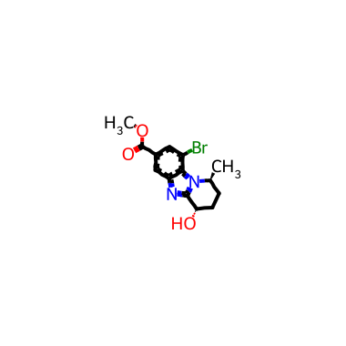 COC(=O)c1cc(Br)c2c(c1)nc1n2[C@@H](C)CC[C@@H]1O